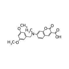 COc1cc(CN(C)c2ccc3cc(C(=O)O)c(=O)oc3c2)cc(OC)c1